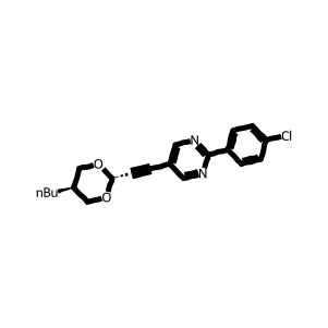 CCCC[C@H]1CO[C@H](C#Cc2cnc(-c3ccc(Cl)cc3)nc2)OC1